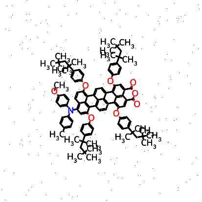 COc1ccc(N(c2ccc(C)cc2)c2cc(Oc3ccc(C(C)(C)CC(C)(C)C)cc3)c3c4ccc5c6c(Oc7ccc(C(C)(C)CC(C)(C)C)cc7)cc7c8c(cc(Oc9ccc(C(C)(C)CC(C)(C)C)cc9)c(c9ccc(c%10c(Oc%11ccc(C(C)(C)CC(C)(C)C)cc%11)ccc2c%103)c4c95)c86)C(=O)OC7=O)cc1